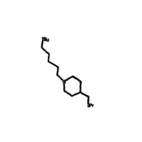 CC(C)CC1CCN(CCCCCC(C)(C)C)CC1